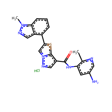 Cc1ncc(N)cc1NC(=O)c1cnn2cc(-c3cccc4c3cnn4C)sc12.Cl